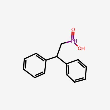 O=[PH](O)CC(c1ccccc1)c1ccccc1